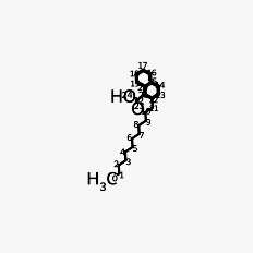 CCCCCCCCCCCCc1ccc2ccccc2c1C(=O)O